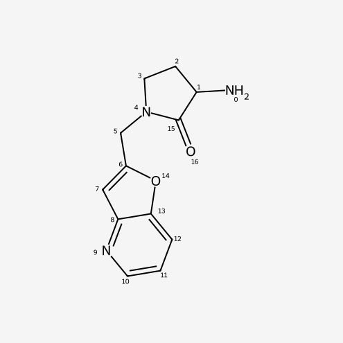 NC1CCN(Cc2cc3ncccc3o2)C1=O